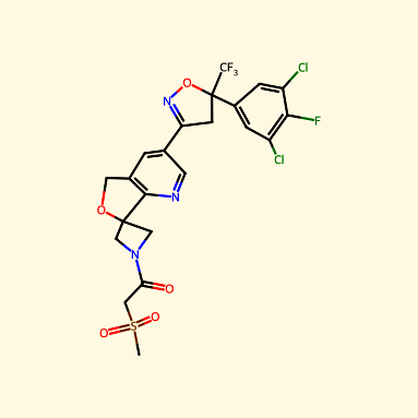 CS(=O)(=O)CC(=O)N1CC2(C1)OCc1cc(C3=NOC(c4cc(Cl)c(F)c(Cl)c4)(C(F)(F)F)C3)cnc12